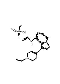 CCN1CC=C(c2csc3cccc(NC=O)c23)CC1.O=P(O)(O)O